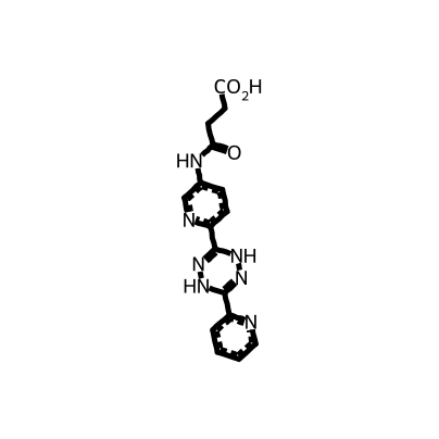 O=C(O)CCC(=O)Nc1ccc(C2=NNC(c3ccccn3)=NN2)nc1